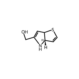 OCC1=CC2SC=C[C@@H]2N1